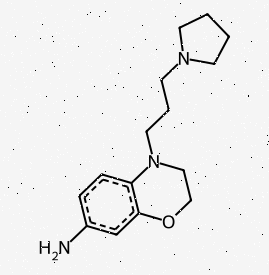 Nc1ccc2c(c1)OCCN2CCCN1CCCC1